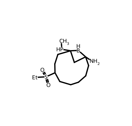 CCS(=O)(=O)C1CCCCCC2(N)BC(PC)(CC1)C2